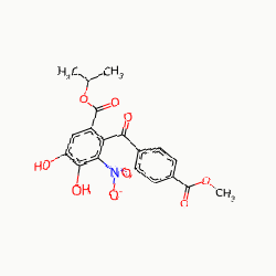 COC(=O)c1ccc(C(=O)c2c(C(=O)OC(C)C)cc(O)c(O)c2[N+](=O)[O-])cc1